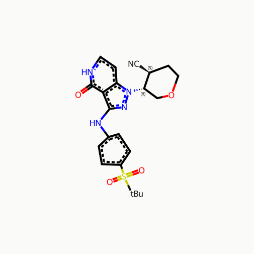 CC(C)(C)S(=O)(=O)c1ccc(Nc2nn([C@H]3COCC[C@@H]3C#N)c3cc[nH]c(=O)c23)cc1